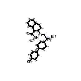 O=C(NO)c1c(OC/C(=N\O)c2ccc(-c3ccc(Cl)cc3)cc2)ccc2ccccc12